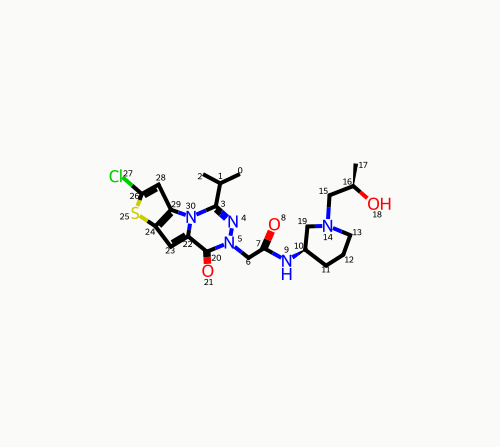 CC(C)c1nn(CC(=O)N[C@@H]2CCCN(C[C@@H](C)O)C2)c(=O)c2cc3sc(Cl)cc3n12